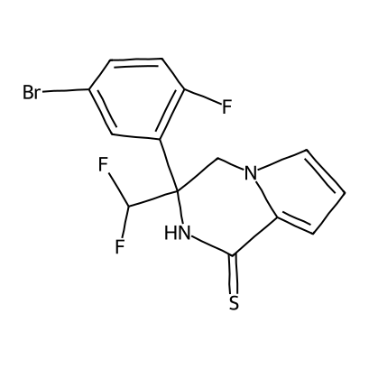 Fc1ccc(Br)cc1C1(C(F)F)Cn2cccc2C(=S)N1